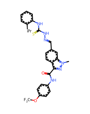 CC(C)c1ccccc1NC(=S)N/N=C/c1ccc2c(C(=O)Nc3ccc(OC(F)(F)F)cc3)nn(C)c2c1